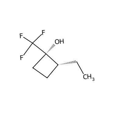 CC[C@@H]1CC[C@@]1(O)C(F)(F)F